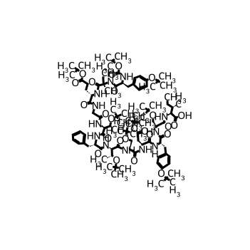 CC[C@H](C)[C@H](NC(=O)[C@H](COC(C)(C)C)NC(=O)[C@H](Cc1ccc(OC(C)(C)C)cc1)NC(=O)[C@H](CC(=O)OC(C)(C)C)NC(=O)[C@H](COC(C)(C)C)NC(=O)[C@@H](NC(=O)[C@H](Cc1ccccc1)NC(=O)[C@@H](NC(=O)CNC(=O)[C@H](CCC(=O)OC(C)(C)C)NC(=O)[C@](C)(CC)NC(=O)[C@H](Cc1ccc(OC(C)(C)C)cc1)NC(=O)OC(C)(C)C)[C@@H](C)OC(C)(C)C)[C@@H](C)OC(C)(C)C)C(=O)O